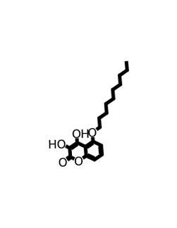 CCCCCCCCCCOc1cccc2oc(=O)c(O)c(O)c12